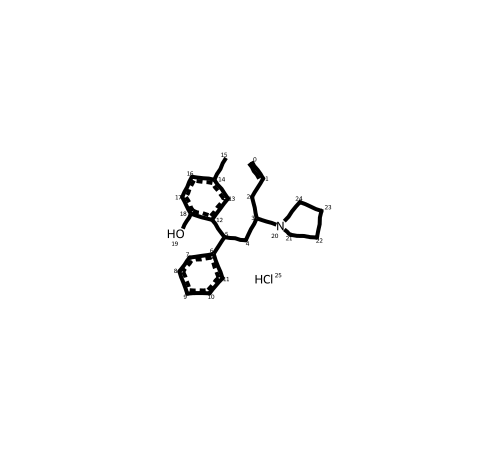 C=CCC(CC(c1ccccc1)c1cc(C)ccc1O)N1CCCC1.Cl